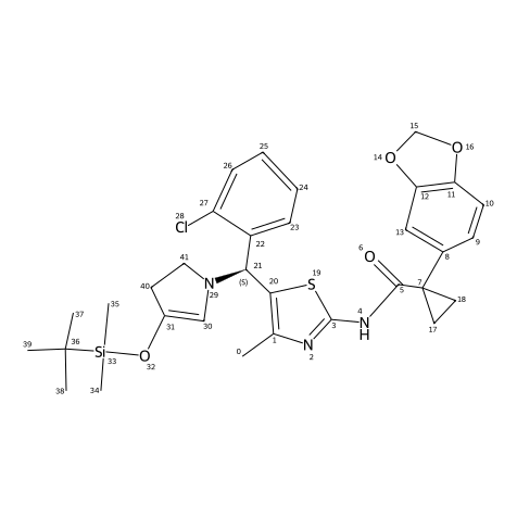 Cc1nc(NC(=O)C2(c3ccc4c(c3)OCO4)CC2)sc1[C@H](c1ccccc1Cl)N1C=C(O[Si](C)(C)C(C)(C)C)CC1